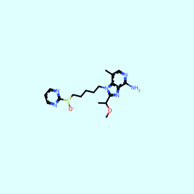 COC(C)c1nc2c(N)ncc(C)c2n1CCCCC[S+]([O-])c1ncccn1